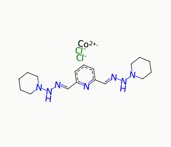 C(=NNN1CCCCC1)c1cccc(C=NNN2CCCCC2)n1.[Cl-].[Cl-].[Co+2]